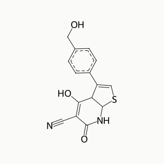 N#CC1=C(O)C2C(c3ccc(CO)cc3)=CSC2NC1=O